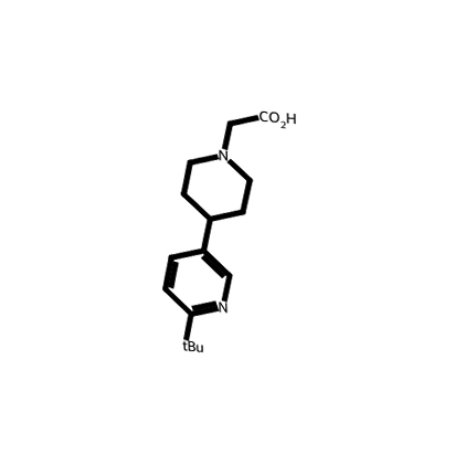 CC(C)(C)c1ccc(C2CCN(CC(=O)O)CC2)cn1